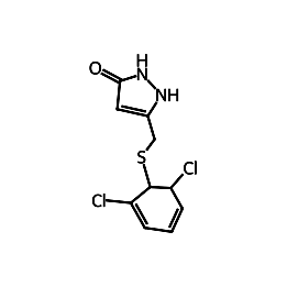 O=c1cc(CSC2C(Cl)=CC=CC2Cl)[nH][nH]1